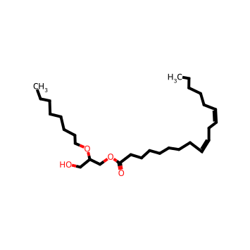 CCCCC/C=C\C/C=C\CCCCCCCC(=O)OCC(CO)OCCCCCCCC